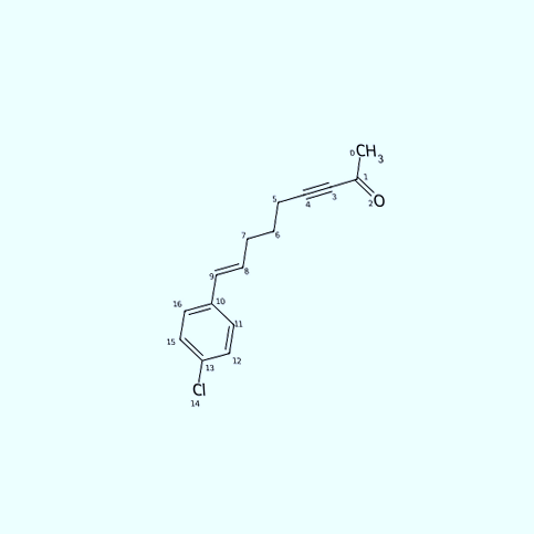 CC(=O)C#CCCCC=Cc1ccc(Cl)cc1